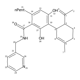 C=C(C)C1CCC(C)=CC1c1c(O)cc(CCCCC)c(C(=O)NCc2cccnc2)c1O